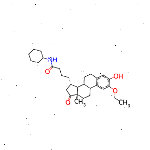 CCOc1cc2c(cc1O)CCC1C2CC[C@]2(C)C(=O)C[C@H](CCCC(=O)NC3CCCCC3)C12